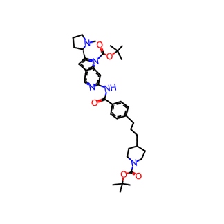 CN1CCC[C@@H]1c1cc2cnc(NC(=O)c3ccc(CCCC4CCN(C(=O)OC(C)(C)C)CC4)cc3)cc2n1C(=O)OC(C)(C)C